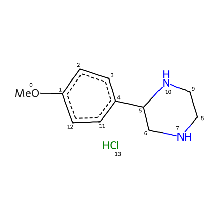 COc1ccc(C2CNCCN2)cc1.Cl